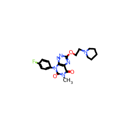 Cn1c(=O)c2nc(OCCN3CCCCC3)nnc2n(-c2ccc(F)cc2)c1=O